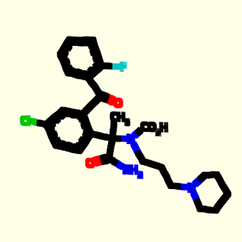 CC(C(N)=O)(c1ccc(Cl)cc1C(=O)c1ccccc1F)N(CCCN1CCCCC1)C(=O)O